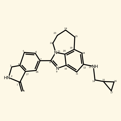 C=C1NCc2ccc(-c3nc4cc(NCC5CC5)cc5c4n3CCCC5)cc21